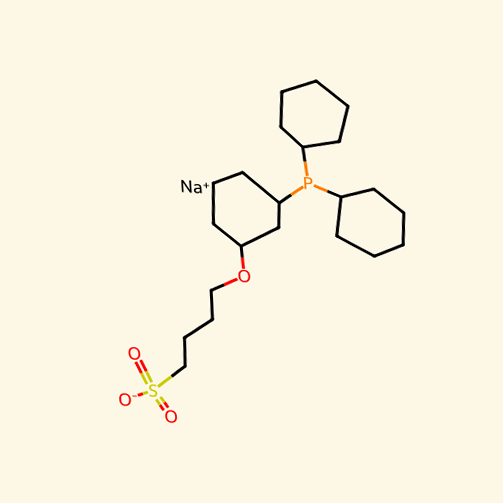 O=S(=O)([O-])CCCCOC1CCCC(P(C2CCCCC2)C2CCCCC2)C1.[Na+]